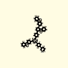 c1cncc(-c2ccc(-c3nc(-c4ccc(-c5ccc(-c6ccc7oc8ccccc8c7c6)c6c5oc5ccccc56)cc4)nc(-c4ccc5c(c4)oc4ccccc45)n3)cc2)c1